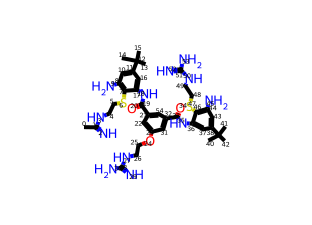 CC(=N)NCCSc1c(N)cc(C(C)(C)C)cc1NC(=O)c1cc(OCCNC(=N)N)cc(C(=O)Nc2cc(C(C)(C)C)cc(N)c2SCCNC(=N)N)c1